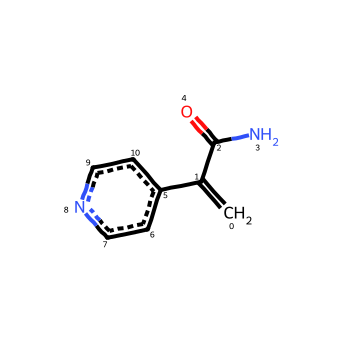 C=C(C(N)=O)c1ccncc1